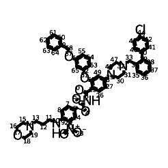 O=C(NS(=O)(=O)c1ccc(NCCCN2CCOCC2)c([N+](=O)[O-])c1)c1ccc(N2CCN(Cc3ccccc3-c3ccc(Cl)cc3)CC2)cc1Oc1cccc(OCc2ccccc2)c1